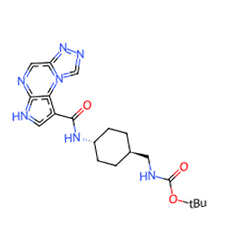 CC(C)(C)OC(=O)NC[C@H]1CC[C@H](NC(=O)c2c[nH]c3ncc4nncn4c23)CC1